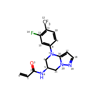 C=CC(=O)N[C@H]1CN(c2ccc(C(F)(F)F)c(F)c2)c2ccnn2C1